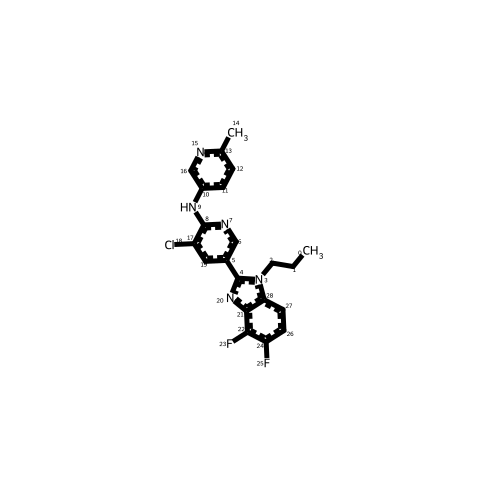 CCCn1c(-c2cnc(Nc3ccc(C)nc3)c(Cl)c2)nc2c(F)c(F)ccc21